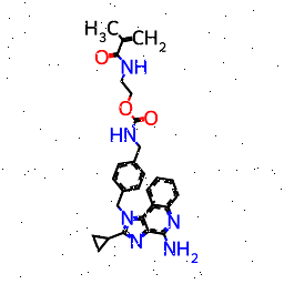 C=C(C)C(=O)NCCOC(=O)NCc1ccc(Cn2c(C3CC3)nc3c(N)nc4ccccc4c32)cc1